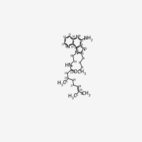 CCCCc1nc2c(N)nc3cccnc3c2n1CCNC(=O)CC(C)CCC=C(C)C